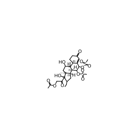 CCC1C[C@H]2[C@@H]3C(OS(C)(=O)=O)C(OS(C)(=O)=O)C4=CC(=O)CC[C@]4(C)[C@H]3C(O)C[C@]2(C)[C@@]1(O)C(=O)COC(C)=O